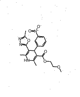 COCCOC(=O)C1=C(C)NC(C)=C(c2nnc(C)o2)C1c1cccc([N+](=O)[O-])c1